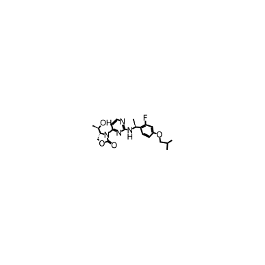 CC(C)COc1ccc([C@H](C)Nc2nccc(N3C(=O)OC[C@@H]3[C@@H](C)O)n2)c(F)c1